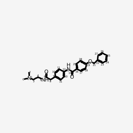 CN(C)CCNC(=O)Cc1ccc(NC(=O)c2ccc(OCc3ccccc3)cc2)cc1